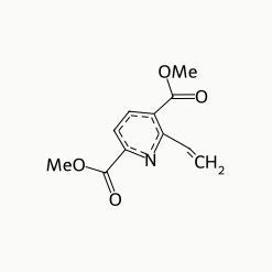 C=Cc1nc(C(=O)OC)ccc1C(=O)OC